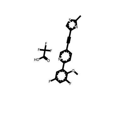 COc1c(F)cc(F)cc1-c1ccc(C#Cc2csc(C)n2)cn1.O=C(O)C(F)(F)F